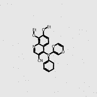 CCOc1ccc2c(N(C3=CC=CCC3)C3=COC=CO3)c(C#N)cnc2c1OCC